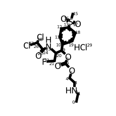 CCNCCOC(=O)OC(c1ccc(S(C)(=O)=O)cc1)C(CF)NC(=O)C(Cl)Cl.Cl